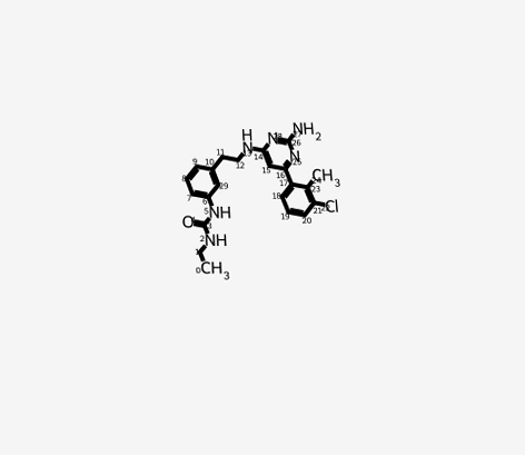 CCNC(=O)Nc1cccc(CCNc2cc(-c3cccc(Cl)c3C)nc(N)n2)c1